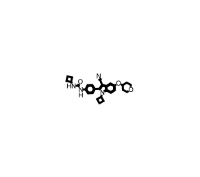 N#Cc1c(-c2ccc(NC(=O)NC3CCC3)cc2)n(C2CCC2)c2ccc(OC3CCOCC3)cc12